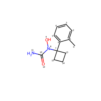 Cc1ccccc1C1(N(O)C(N)=O)CCC1